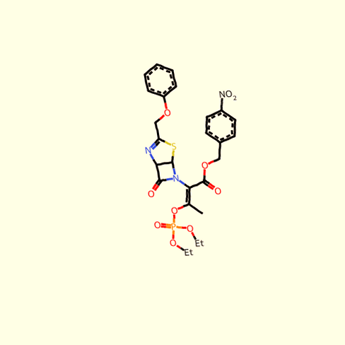 CCOP(=O)(OCC)OC(C)=C(C(=O)OCc1ccc([N+](=O)[O-])cc1)N1C(=O)C2N=C(COc3ccccc3)SC21